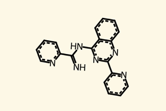 N=C(Nc1nc(-c2ccccn2)nc2ccccc12)c1ccccn1